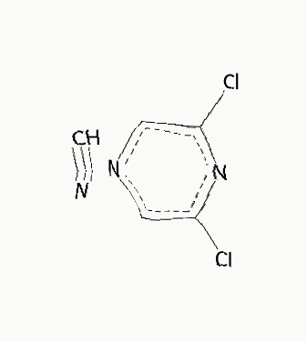 C#N.Clc1cncc(Cl)n1